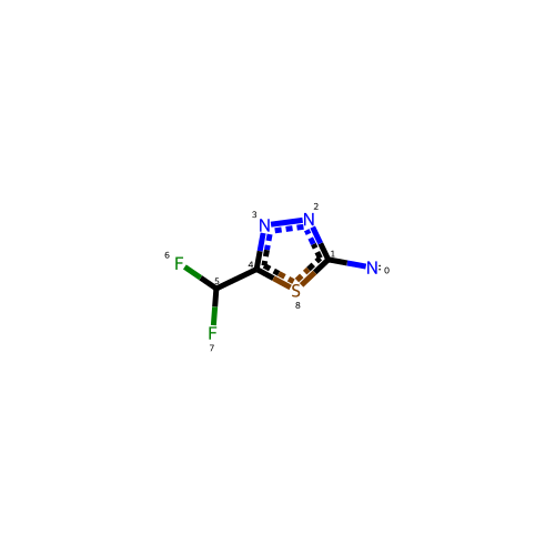 [N]c1nnc(C(F)F)s1